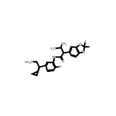 CC(C(C(=O)Nc1cc(C(CC(=O)O)C2CC2)ccc1Cl)c1ccc2c(c1)OC(F)(F)O2)C(F)(F)F